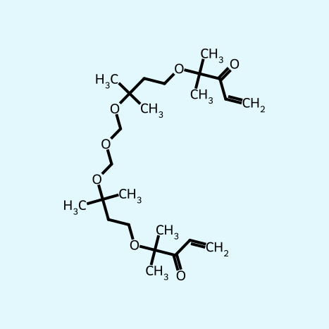 C=CC(=O)C(C)(C)OCCC(C)(C)OCOCOC(C)(C)CCOC(C)(C)C(=O)C=C